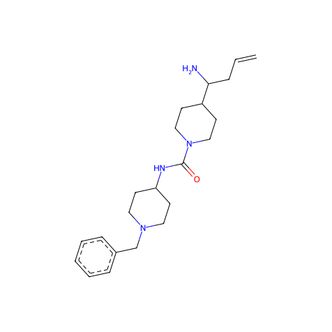 C=CCC(N)C1CCN(C(=O)NC2CCN(Cc3ccccc3)CC2)CC1